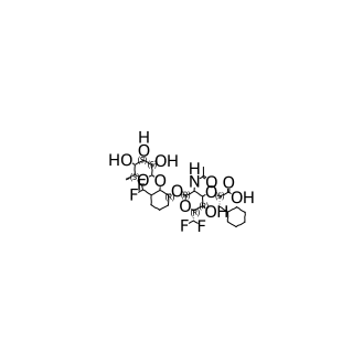 CC(=O)NC1C(O[C@@H](CC2CCCCC2)C(=O)O)[C@@H](O)[C@H](C(F)F)O[C@H]1O[C@@H]1CCCC(C(F)F)C1OC1O[C@@H](C)C(O)[C@H](O)[C@@H]1O